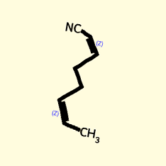 C/C=C\CC/C=C\C#N